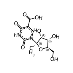 C[C@@]1(n2cc(C(=O)O)c(=O)[nH]c2=O)O[C@H](CO)[C@@H](O)[C@H]1O